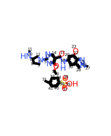 CCOc1nc(N2CC[C@@H](NC)C2)ncc1C(=O)Nc1cc(OC)c2nn(C)cc2c1.Cc1ccc(S(=O)(=O)O)cc1